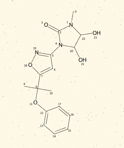 CN1C(=O)N(c2cc(C(C)(C)Oc3ccccc3)on2)C(O)C1O